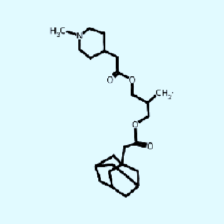 [CH2]C(COC(=O)CC1CCN(C)CC1)COC(=O)CC12CC3CC(CC(C3)C1)C2